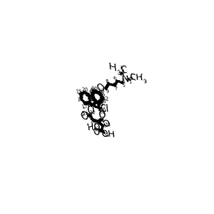 CCN(CC)CCCCCOc1ccc(C2(c3ccccc3)OC(=O)CC(O)(CC(=O)O)C(=O)OC2(Cl)c2ccccc2)cc1